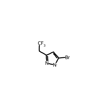 FC(F)(F)CC1=N[N]C(Br)=C1